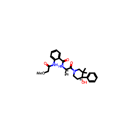 COCC(=O)Nc1ccccc1C(=O)N[C@@H](C(=O)N1CC[C@](O)(c2ccccc2)C(C)(C)C1)C(C)C